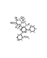 Cc1cnccc1-c1nc(-c2ccccc2F)c2c(n1)[C@]1(C)C=C(C#N)C(=O)[C@H](C)[C@H]1CC2